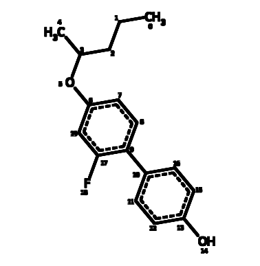 CCCC(C)Oc1ccc(-c2ccc(O)cc2)c(F)c1